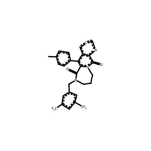 Cc1ccc(-c2c3n(c(=O)c4ncccc24)CCCN(Cc2cc(C(F)(F)F)cc(C(F)(F)F)c2)C3=O)cc1